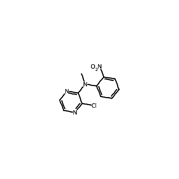 CN(c1ccccc1[N+](=O)[O-])c1nccnc1Cl